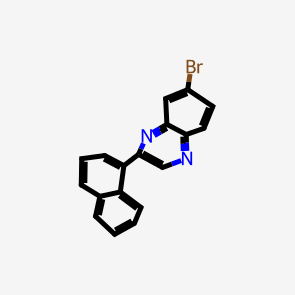 Brc1ccc2ncc(-c3cccc4ccccc34)nc2c1